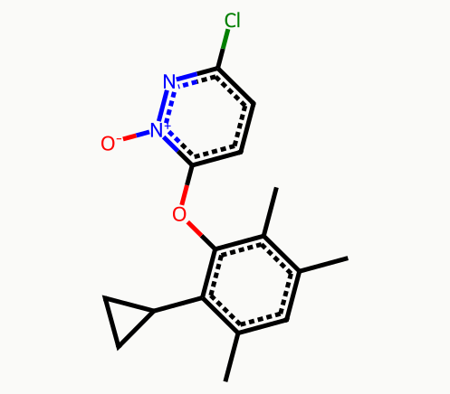 Cc1cc(C)c(C2CC2)c(Oc2ccc(Cl)n[n+]2[O-])c1C